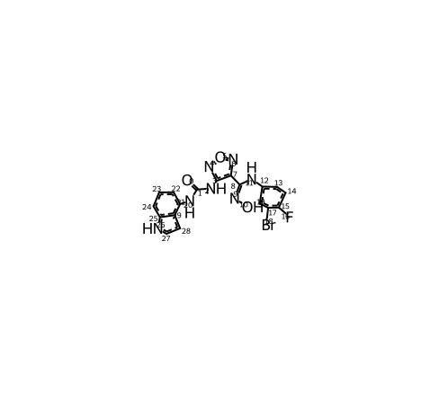 O=C(Nc1nonc1/C(=N/O)Nc1ccc(F)c(Br)c1)Nc1cccc2[nH]ccc12